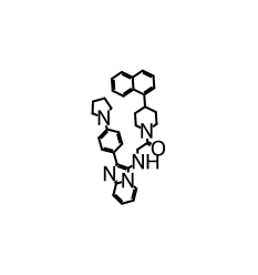 O=C(CNc1c(-c2ccc(N3CCCC3)cc2)nc2ccccn12)N1CCC(c2cccc3ccccc23)CC1